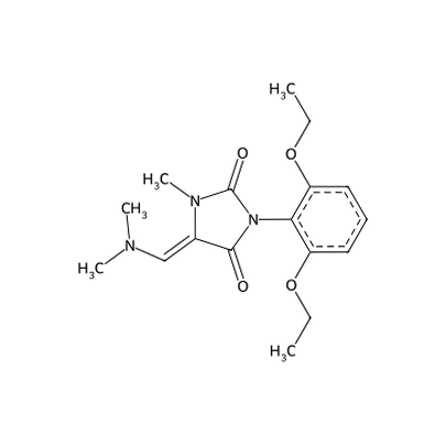 CCOc1cccc(OCC)c1N1C(=O)C(=CN(C)C)N(C)C1=O